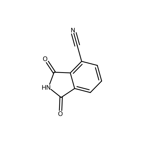 N#Cc1cccc2c1C(=O)NC2=O